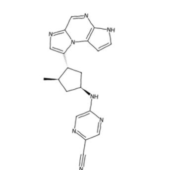 C[C@@H]1C[C@H](Nc2cnc(C#N)cn2)C[C@H]1c1cnc2cnc3[nH]ccc3n12